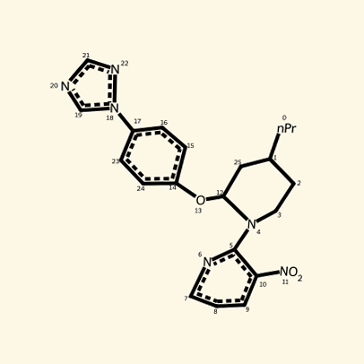 CCCC1CCN(c2ncccc2[N+](=O)[O-])C(Oc2ccc(-n3cncn3)cc2)C1